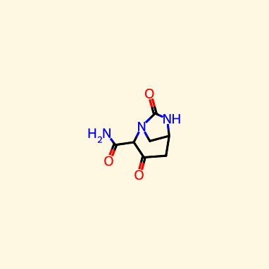 NC(=O)C1C(=O)CC2CN1C(=O)N2